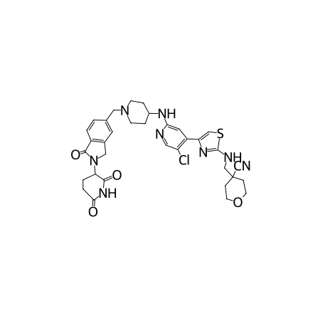 N#CC1(CNc2nc(-c3cc(NC4CCN(Cc5ccc6c(c5)CN(C5CCC(=O)NC5=O)C6=O)CC4)ncc3Cl)cs2)CCOCC1